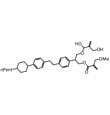 C=C(COC)C(=O)OCC(COC(O)C(=C)CO)c1ccc(CCc2ccc(C3CCC(CCCCC)CC3)cc2)cc1